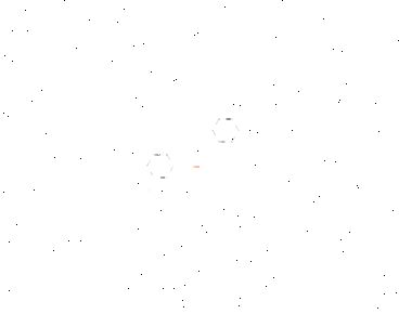 O=P(O)(O)c1cc(O)cc(O)c1CCCc1ccc(O)cc1